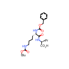 CC(C)[C@H](NC(=O)[C@H](CCCCNC(=O)OC(C)(C)C)NC(=O)OCc1ccccc1)C(=O)O